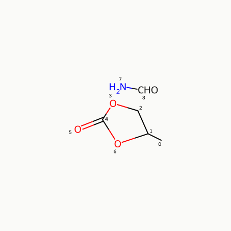 CC1COC(=O)O1.NC=O